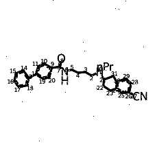 CCCN(CCCCNC(=O)c1ccc(-c2ccccc2)cc1)[C@@H]1CCc2cc(C#N)ccc2C1